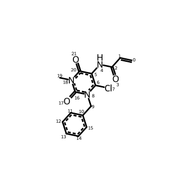 C=CC(=O)Nc1c(Cl)n(Cc2ccccc2)c(=O)n(C)c1=O